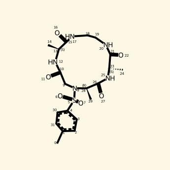 Cc1ccc(S(=O)(=O)N2CC(=O)N[C@@H](C)C(=O)NCCNC(=O)[C@H](C)NC(=O)[C@H]2C)cc1